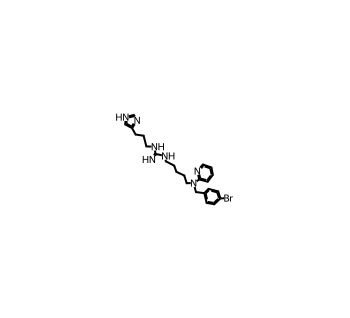 N=C(NCCCCCN(Cc1ccc(Br)cc1)c1ccccn1)NCCCc1c[nH]cn1